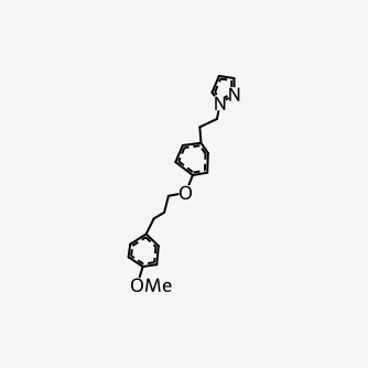 COc1ccc(CCCOc2ccc(CCn3cccn3)cc2)cc1